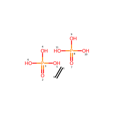 C=C.O=P(O)(O)O.O=P(O)(O)O